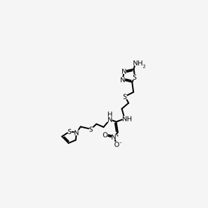 Nc1nnc(CSCCNC(=C[N+](=O)[O-])NCCSCN2CC=CS2)s1